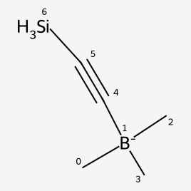 C[B-](C)(C)C#C[SiH3]